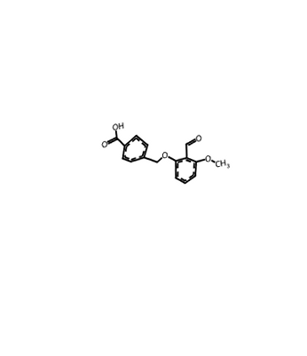 COc1cccc(OCc2ccc(C(=O)O)cc2)c1C=O